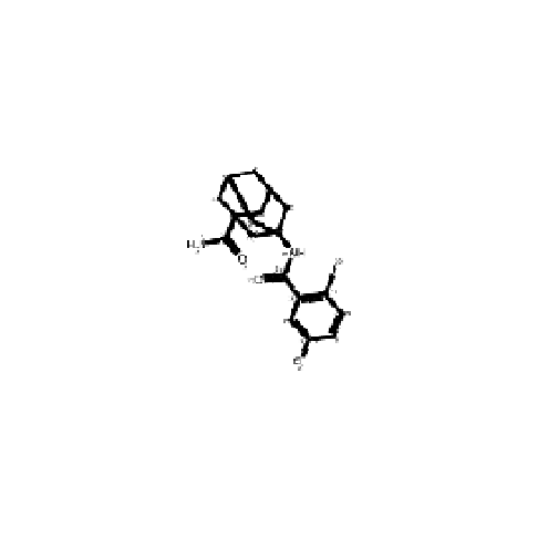 NC(=O)C12CC3CC(CC(NC(=O)c4cc(Cl)ccc4F)(C3)C1)C2